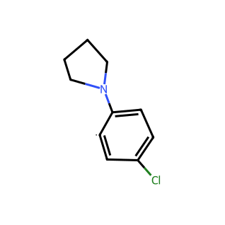 Clc1c[c]c(N2CCCC2)cc1